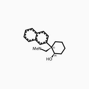 CNC[C@@]1(c2ccc3ccccc3c2)CCCC[C@H]1O